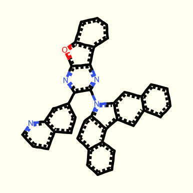 c1ccc2cc3c(cc2c1)c1c2ccccc2ccc1n3-c1nc2c(nc1-c1ccc3cccnc3c1)oc1ccccc12